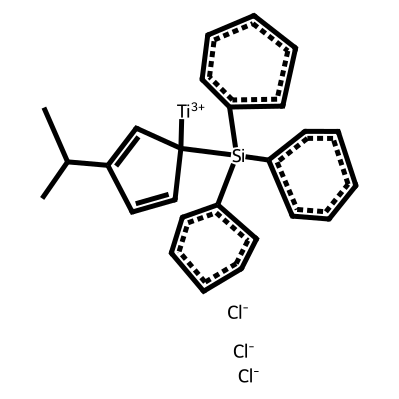 CC(C)C1=C[C]([Ti+3])([Si](c2ccccc2)(c2ccccc2)c2ccccc2)C=C1.[Cl-].[Cl-].[Cl-]